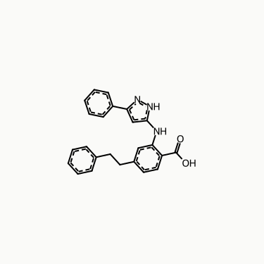 O=C(O)c1ccc(CCc2ccccc2)cc1Nc1cc(-c2ccccc2)n[nH]1